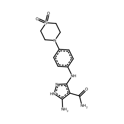 NC(=O)c1c(Nc2ccc(N3CCS(=O)(=O)CC3)cc2)n[nH]c1N